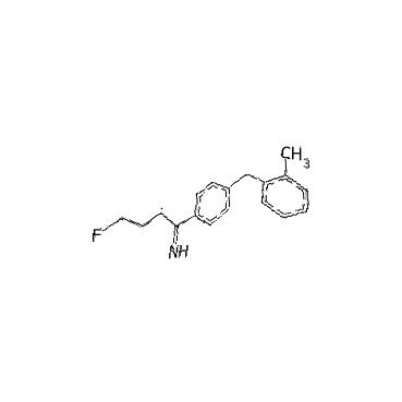 Cc1ccccc1Cc1ccc(C(=N)[CH]CCF)cc1